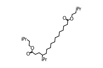 CC(C)CCOC(=O)CCCCCCCCCCCC(CCC(=O)OCCC(C)C)C(C)C